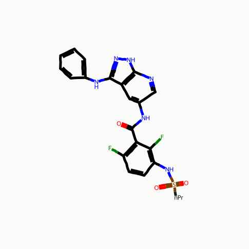 CCCS(=O)(=O)Nc1ccc(F)c(C(=O)Nc2cnc3[nH]nc(Nc4ccccc4)c3c2)c1F